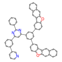 c1ccc(-c2nc(-c3cccc(-c4cccnc4)c3)cc(-c3cc(-c4ccc5oc6cc7ccccc7cc6c5c4)cc(-c4ccc5oc6cc7ccccc7cc6c5c4)c3)n2)cc1